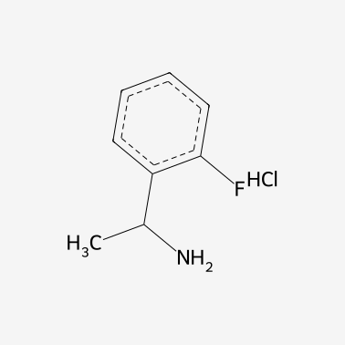 CC(N)c1ccccc1F.Cl